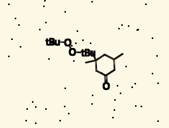 CC(C)(C)OOC(C)(C)C.CC1CC(=O)CC(C)(C)C1